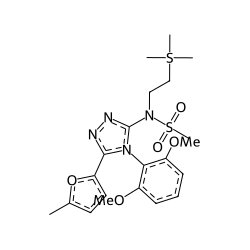 COc1cccc(OC)c1-n1c(-c2ccc(C)o2)nnc1N(CCS(C)(C)C)S(C)(=O)=O